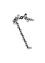 C[C@H](Nc1ncc2c(n1)N(CCOCCOCCOCCOCCOCCOCCOCCOCCO)C(=O)OC2)c1ccc([C@H](CC2CC2)N2CCN(C(=O)OC(C)(C)C)CC2)cc1